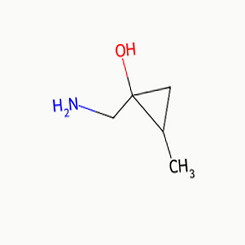 CC1CC1(O)CN